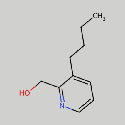 CCCCc1cccnc1CO